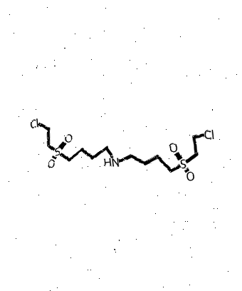 O=S(=O)(CCCl)CCCCNCCCCS(=O)(=O)CCCl